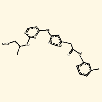 COCC(C)Nc1ncnc(Nc2cc(CC(=O)Nc3cccc(F)c3)[nH]n2)n1